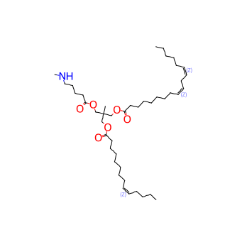 CCCC/C=C\CCCCCCCC(=O)OCC(C)(COC(=O)CCCCCCC/C=C\C/C=C\CCCCC)COC(=O)CCCCNC